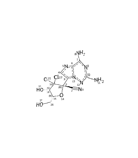 N#C[C@@]1(c2cnc3c(N)nc(N)nn23)O[C@H](CO)[C@H](O)C1(Cl)Cl